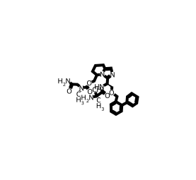 CN(CC(N)=O)C(=O)OCC1CCCc2cnc([C@@H](COCc3ccccc3-c3ccccc3)NC(=O)C(C)(C)N)n21